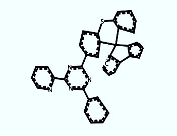 c1ccc(-c2nc(-c3ccc4c(c3)C3(c5ccccc5S4)c4ccccc4-c4ccccc43)nc(-c3ccccn3)n2)cc1